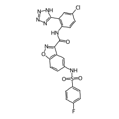 O=C(Nc1ccc(Cl)cc1-c1nnn[nH]1)c1noc2ccc(NS(=O)(=O)c3ccc(F)cc3)cc12